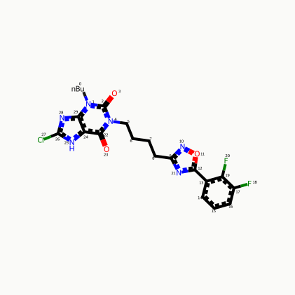 CCCCn1c(=O)n(CCCCc2noc(-c3cccc(F)c3F)n2)c(=O)c2[nH]c(Cl)nc21